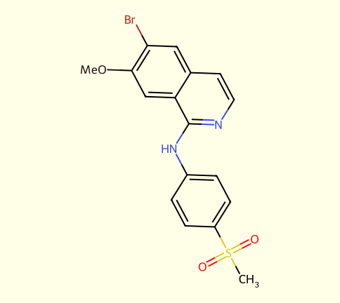 COc1cc2c(Nc3ccc(S(C)(=O)=O)cc3)nccc2cc1Br